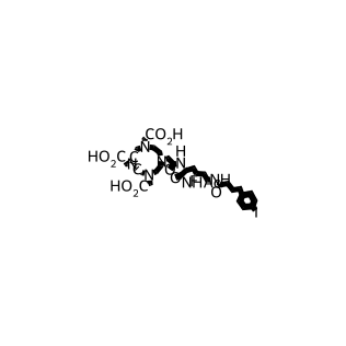 CC(=O)NC(=O)C(CC(F)CCNC(=O)CCCc1ccc(I)cc1)NC(=O)CN1CCN(CC(=O)O)CCN(CC(=O)O)CCN(CC(=O)O)CC1